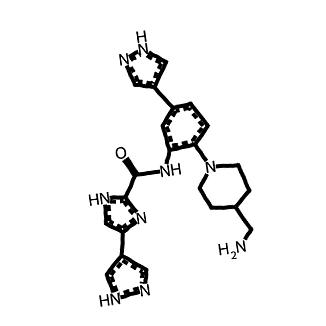 NCC1CCN(c2ccc(-c3cn[nH]c3)cc2NC(=O)c2nc(-c3cn[nH]c3)c[nH]2)CC1